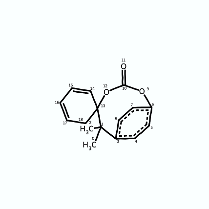 CC1(C)c2ccc(cc2)OC(=O)OC12C=CC=CC2